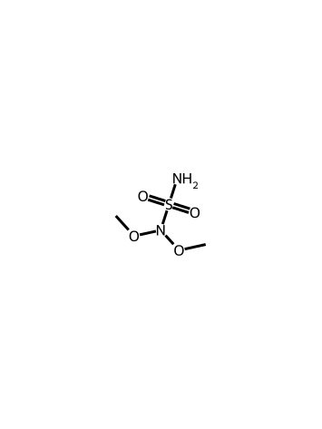 CON(OC)S(N)(=O)=O